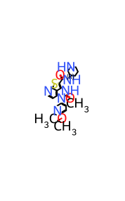 Cc1cc(OC(C)C)ncc1N1C(=O)Nc2c(C(=O)N[C@@H]3CCCNC3)sc3nccc1c23